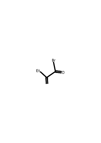 C=C(CC)C(=O)Br